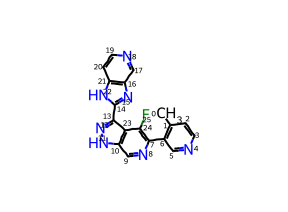 Cc1ccncc1-c1ncc2[nH]nc(-c3nc4cnccc4[nH]3)c2c1F